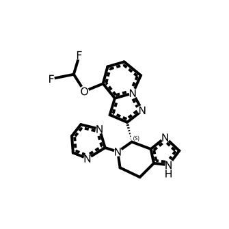 FC(F)Oc1cccn2nc([C@@H]3c4nc[nH]c4CCN3c3ncccn3)cc12